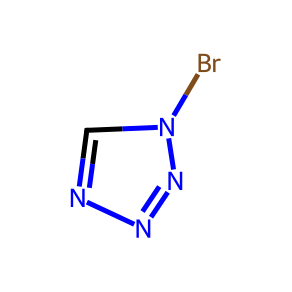 Brn1cnnn1